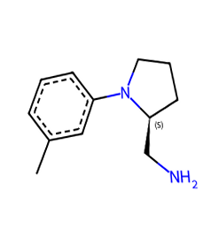 Cc1cccc(N2CCC[C@H]2CN)c1